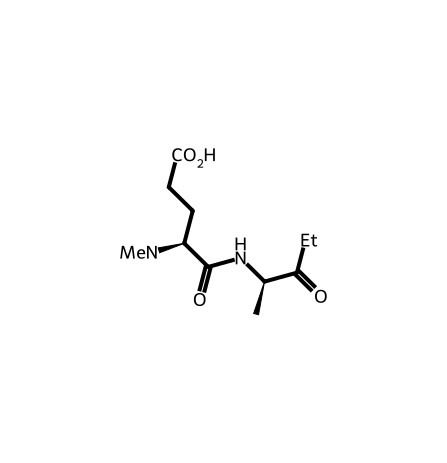 CCC(=O)[C@@H](C)NC(=O)[C@H](CCC(=O)O)NC